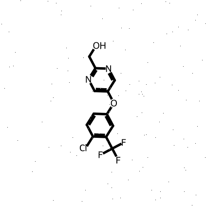 OCc1ncc(Oc2ccc(Cl)c(C(F)(F)F)c2)cn1